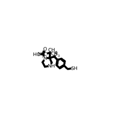 CC(C)(C)C1(C(=S)c2ccc(CS)cc2)CNCCN1C(=O)O